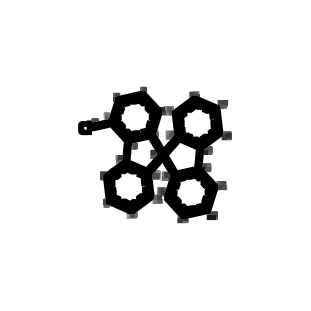 Clc1cccc2c1-c1ccccc1C21c2ccccc2-c2ccccc21